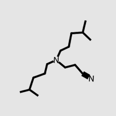 CC(C)CCCN(CCC#N)CCCC(C)C